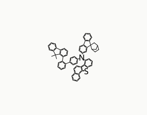 CC1(C)c2ccccc2-c2cccc(-c3ccccc3-c3ccc(N(c4ccc5c(c4)C4(CC6CCC4C6)c4ccccc4-5)c4cccc5sc6c7ccccc7ccc6c45)cc3)c21